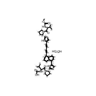 COC(=O)N[C@H](C(=O)N1CCC[C@H]1c1ncc(C#CC#Cc2cccc3c(-c4cnc([C@@H]5CCCN5C(=O)[C@@H](NC(=O)O)C(C)C)[nH]4)cccc23)[nH]1)C(C)C.Cl.Cl